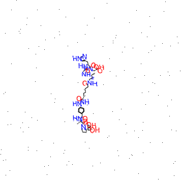 C[C@@H](NC(=O)c1ccc(NNC(=O)CCCCCC(=O)NCCCC[C@H](NC(=O)C(Cc2c[nH]cn2)NC(=O)CN)C(=O)O)cc1)C(=O)N1CCC[C@H]1B(O)O